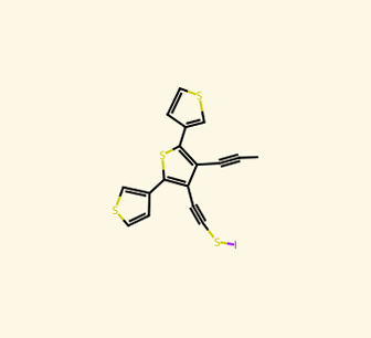 CC#Cc1c(-c2ccsc2)sc(-c2ccsc2)c1C#CSI